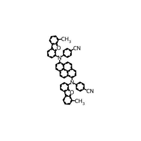 Cc1cccc2c1oc1c(N(c3ccc(C#N)cc3)c3ccc4ccc5c(N(c6ccc(C#N)cc6)c6cccc7c6oc6c(C)cccc67)ccc6ccc3c4c65)cccc12